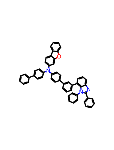 c1ccc(-c2ccc(N(c3ccc(-c4cccc(-c5cccc6nc(-c7ccccc7)n(-c7ccccc7)c56)c4)cc3)c3ccc4c(c3)oc3ccccc34)cc2)cc1